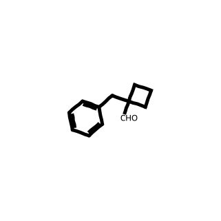 O=CC1(Cc2ccccc2)CCC1